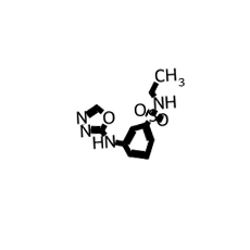 CCNS(=O)(=O)c1cccc(Nc2nnco2)c1